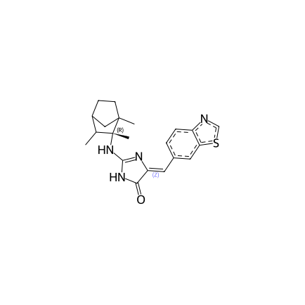 CC1C2CCC(C)(C2)[C@]1(C)NC1=N/C(=C\c2ccc3ncsc3c2)C(=O)N1